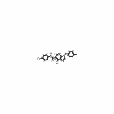 Cc1ccc(Cn2cnc3c(Cl)c(C(=O)Nc4ccc(C(C)C)cc4)cnc32)cc1